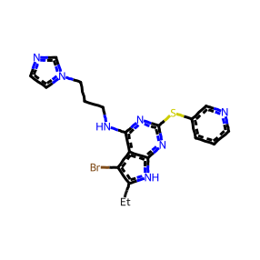 CCc1[nH]c2nc(Sc3cccnc3)nc(NCCCn3ccnc3)c2c1Br